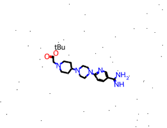 CC(C)(C)OC(=O)CN1CCC(N2CCN(c3ccc(C(=N)N)cn3)CC2)CC1